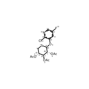 CC(=O)O[C@@H]1[C@@H](OC(C)=O)[C@H](OC(C)=O)CS[C@H]1Oc1cc(F)cnc1Cl